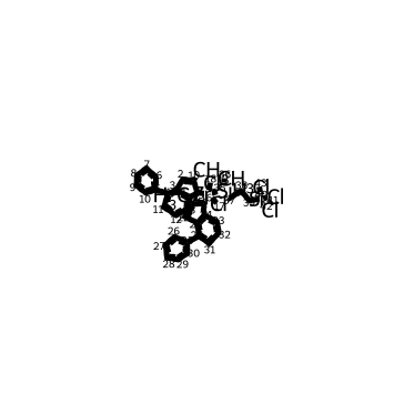 CC1=Cc2c(-c3ccccc3)cccc2[CH]1[Zr]([Cl])([Cl])([CH]1C(C)=Cc2c(-c3ccccc3)cccc21)[SiH](C)CCC[Si](Cl)(Cl)Cl